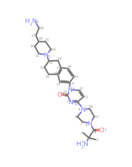 CC(C)(N)C(=O)N1CCN(c2ccn(-c3ccc4c(c3)CCC(N3CCC(CCN)CC3)C4)c(=O)n2)CC1